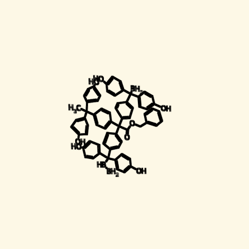 BBC(c1ccc(O)cc1)(c1ccc(O)cc1)c1ccc(C(C(=O)OCc2ccccc2)(c2ccc(C(B)(c3ccc(O)cc3)c3ccc(O)cc3)cc2)c2ccc(C(C)(c3ccc(O)cc3)c3ccc(O)cc3)cc2)cc1